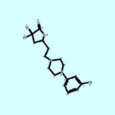 CCC1(CC)CC(CCN2CCN(c3cccc(C#N)c3)CC2)OC1=O